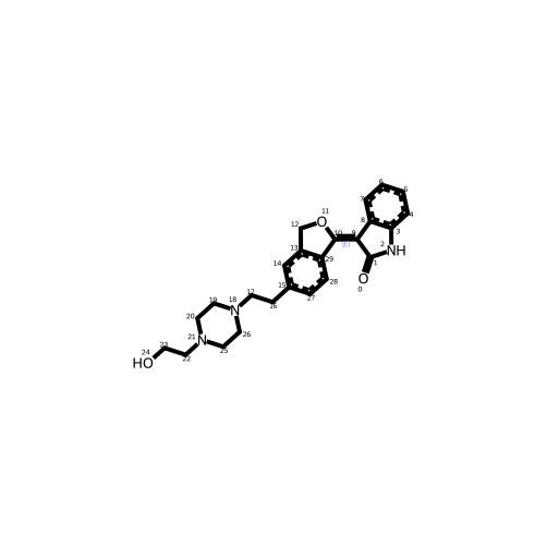 O=C1Nc2ccccc2/C1=C1\OCc2cc(CCN3CCN(CCO)CC3)ccc21